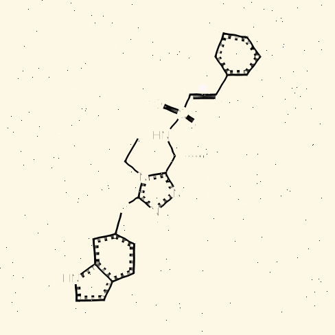 CCn1c(Oc2ccc3cc[nH]c3c2)nnc1[C@@H](C)NS(=O)(=O)/C=C/c1ccccc1